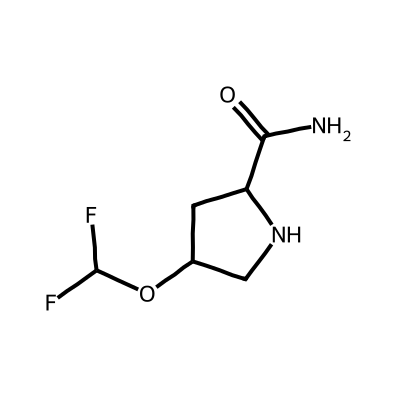 NC(=O)C1CC(OC(F)F)CN1